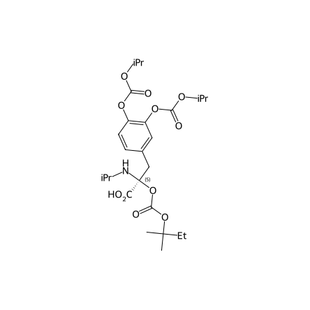 CCC(C)(C)OC(=O)O[C@](Cc1ccc(OC(=O)OC(C)C)c(OC(=O)OC(C)C)c1)(NC(C)C)C(=O)O